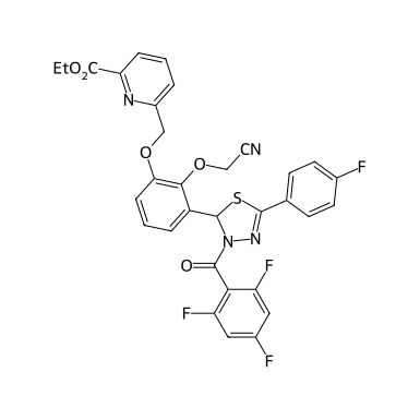 CCOC(=O)c1cccc(COc2cccc(C3SC(c4ccc(F)cc4)=NN3C(=O)c3c(F)cc(F)cc3F)c2OCC#N)n1